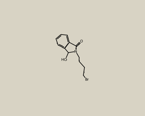 O=C1c2ccccc2C(O)N1CCCCBr